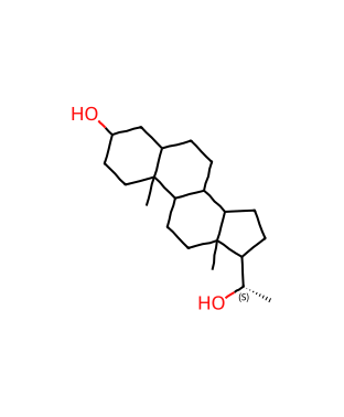 C[C@H](O)C1CCC2C3CCC4CC(O)CCC4(C)C3CCC21C